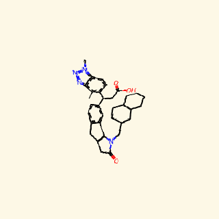 Cc1c(C(CC(=O)O)c2ccc3c(c2)C2C(CC(=O)N2CC2CCC4CCCCC4C2)C3)ccc2c1nnn2C